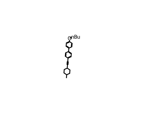 CCCCOc1ccc(-c2ccc(C#CC3CCC(C)CC3)cc2)cc1